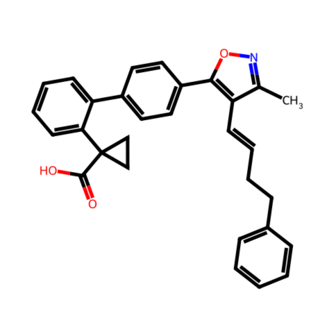 Cc1noc(-c2ccc(-c3ccccc3C3(C(=O)O)CC3)cc2)c1/C=C/CCc1ccccc1